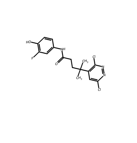 CC(C)(CCC(=O)Nc1ccc(O)c(F)c1)c1cc(Cl)nnc1Cl